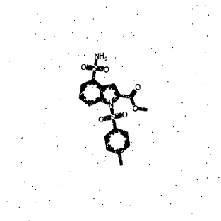 COC(=O)c1cc2c(S(N)(=O)=O)cccc2n1S(=O)(=O)c1ccc(C)cc1